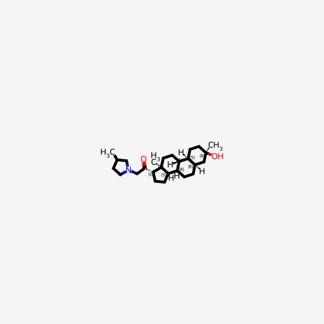 CC1CCN(CC(=O)[C@H]2CC[C@H]3[C@@H]4CC[C@@H]5C[C@](C)(O)CC[C@@H]5[C@H]4CC[C@]23C)C1